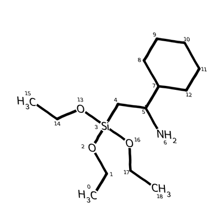 CCO[Si](C[C](N)C1CCCCC1)(OCC)OCC